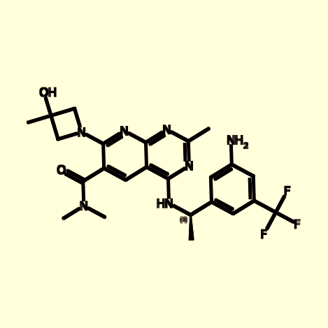 Cc1nc(N[C@H](C)c2cc(N)cc(C(F)(F)F)c2)c2cc(C(=O)N(C)C)c(N3CC(C)(O)C3)nc2n1